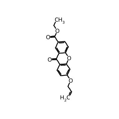 C=CCOc1ccc2c(=O)c3cc(C(=O)OCC)ccc3oc2c1